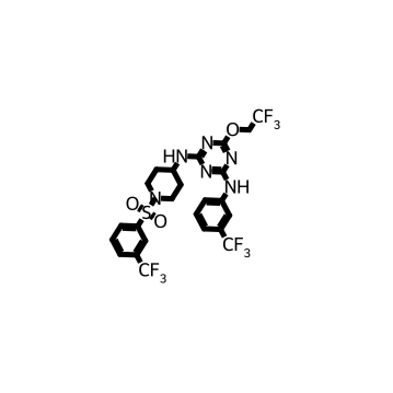 O=S(=O)(c1cccc(C(F)(F)F)c1)N1CCC(Nc2nc(Nc3cccc(C(F)(F)F)c3)nc(OCC(F)(F)F)n2)CC1